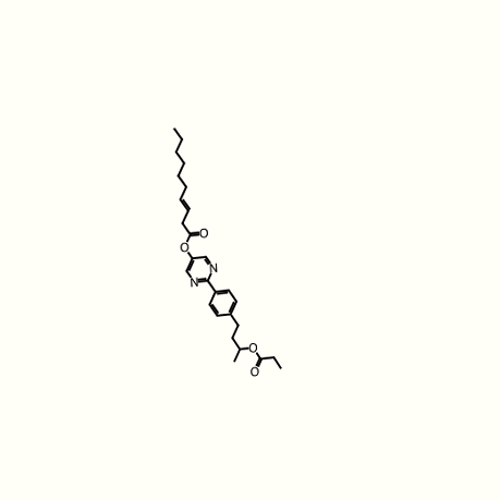 CCCCCCC=CCC(=O)Oc1cnc(-c2ccc(CCC(C)OC(=O)CC)cc2)nc1